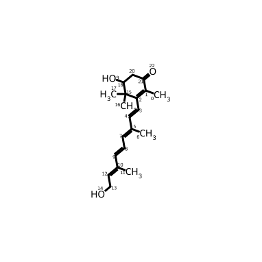 CC1=C(/C=C/C(C)=C/C=C/C(C)=C/CO)C(C)(C)C(O)CC1=O